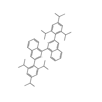 CC(C)c1cc(C(C)C)c(-c2[c]c(-c3[c]c(-c4c(C(C)C)cc(C(C)C)cc4C(C)C)cc4ccccc34)c3ccccc3c2)c(C(C)C)c1